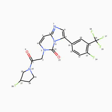 O=C(Cn1ccc2ncc(-c3ccc(F)c(C(F)(F)F)c3)n2c1=O)N1CCC(F)C1